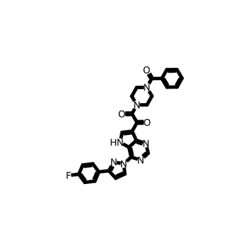 O=C(C(=O)N1CCN(C(=O)c2ccccc2)CC1)c1c[nH]c2c(-n3ccc(-c4ccc(F)cc4)n3)ncnc12